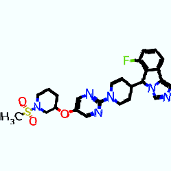 CS(=O)(=O)N1CCCC(Oc2cnc(N3CCC(C4c5c(F)cccc5-c5cncn54)CC3)nc2)C1